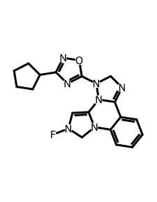 FN1C=C2N(C1)c1ccccc1C1=NCN(c3nc(C4CCCC4)no3)N21